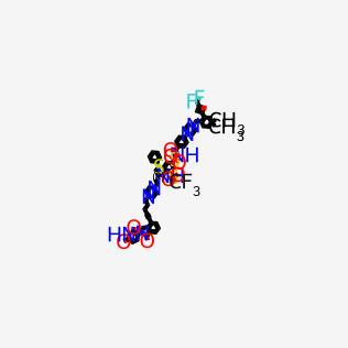 CC1(C)CCC(CN2CCN(c3ccc(C(=O)NS(=O)(=O)c4ccc(N[C@H](CCN5CCN(CCCC#Cc6cccc7c6CN(C6CCC(=O)NC6=O)C7=O)CC5)CSc5ccccc5)c(S(=O)(=O)C(F)(F)F)c4)cc3)CC2)=C(C23CC(C(F)F)(C2)C3)C1